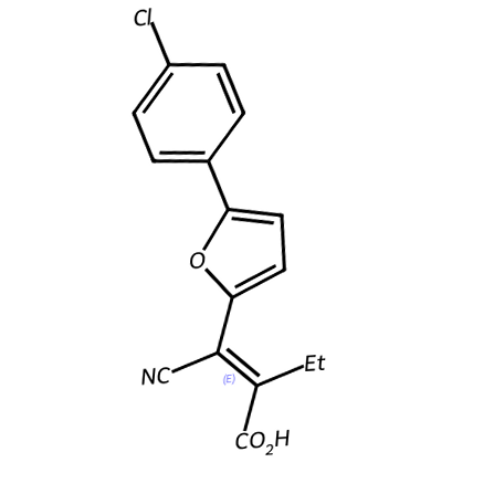 CC/C(C(=O)O)=C(/C#N)c1ccc(-c2ccc(Cl)cc2)o1